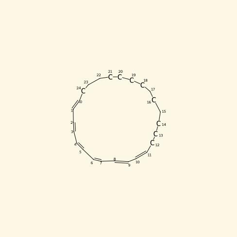 [C]1=C/C=C/C=C\C=C/C=C/C=C\CCCCCCCCCCCCC/1